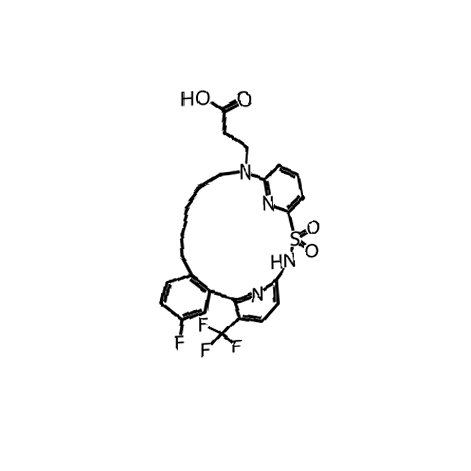 O=C(O)CCN1CCCCCc2ccc(F)cc2-c2nc(ccc2C(F)(F)F)NS(=O)(=O)c2cccc1n2